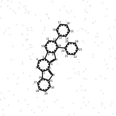 C1=c2c(ccc3c2=Cc2c-3ccc(-c3ccccc3)c2-c2ccccc2)-c2ccccc21